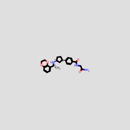 C[C@@H](N[C@H]1CC[C@@H](c2ccc(C(=O)NCC(N)=O)cc2)C1)c1cccc2c1OCCO2